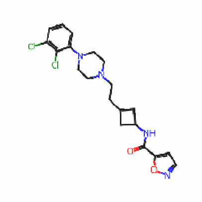 O=C(NC1CC(CCN2CCN(c3cccc(Cl)c3Cl)CC2)C1)c1ccno1